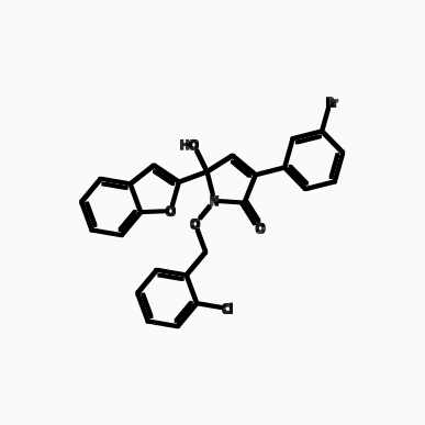 O=C1C(c2cccc(Br)c2)=CC(O)(c2cc3ccccc3o2)N1OCc1ccccc1Cl